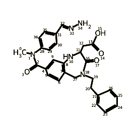 CN(C(=O)c1ccc2c(c1)NC(CC(=O)O)C(=O)N(CCc1ccccc1)C2)c1ccc(C=NN)cc1